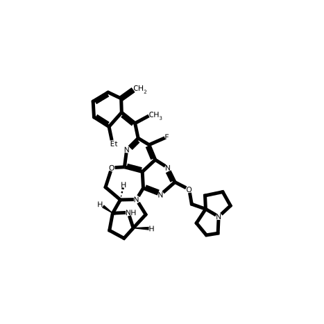 C=c1cccc(CC)/c1=C(/C)c1nc2c3c(nc(OCC45CCCN4CCC5)nc3c1F)N1C[C@@H]3CC[C@@H](N3)[C@H]1CO2